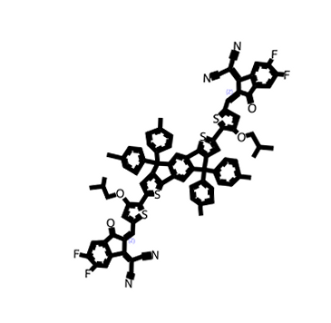 Cc1ccc(C2(c3ccc(C)cc3)c3cc4c(cc3-c3sc(-c5sc(/C=C6\C(=O)c7cc(F)c(F)cc7C6=C(C#N)C#N)cc5OCC(C)C)cc32)C(c2ccc(C)cc2)(c2ccc(C)cc2)c2cc(-c3sc(/C=C5\C(=O)c6cc(F)c(F)cc6C5=C(C#N)C#N)cc3OCC(C)C)sc2-4)cc1